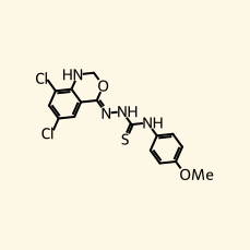 COc1ccc(NC(=S)N/N=C2\OCNc3c(Cl)cc(Cl)cc32)cc1